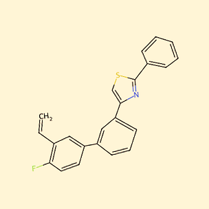 C=Cc1cc(-c2cccc(-c3csc(-c4ccccc4)n3)c2)ccc1F